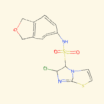 O=S(=O)(Nc1ccc2c(c1)COC2)C1C(Cl)N=C2SC=CN21